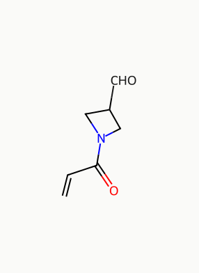 C=CC(=O)N1CC(C=O)C1